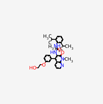 CC(C)c1cccc(C(C)C)c1NC(=O)Nc1c(-c2cccc(OCCO)c2)c2cccnc2n(C)c1=O